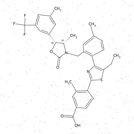 CCc1sc(-c2ccc(C(=O)O)cc2C)nc1-c1ccc(C)cc1CN1C(=O)O[C@H](c2cc(C)cc(C(F)(F)F)c2)[C@@H]1C